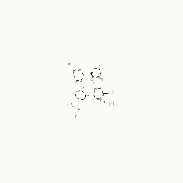 CCS(=O)(=O)c1ccc(Oc2ccc(F)cc2F)c(-c2cn(C)c(=O)cc2Oc2ccc(F)cc2F)c1